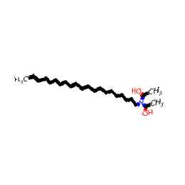 CCCCCCCCCCCCCCCCCCCCCN(C(C)O)C(C)O